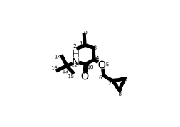 CC(C)CC(OCC1CC1)C(=O)NC(C)(C)C